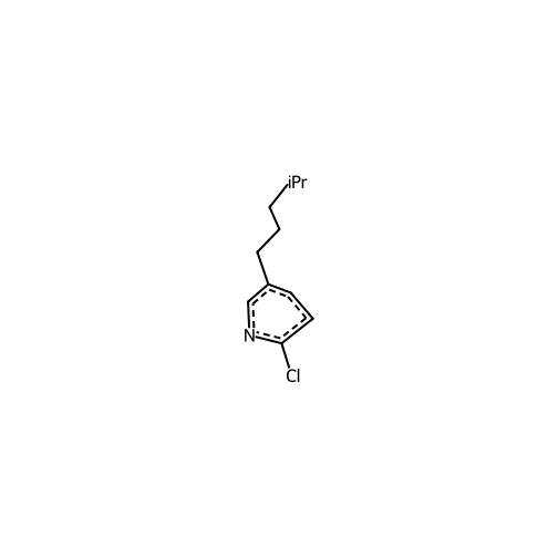 CC(C)CCCc1ccc(Cl)nc1